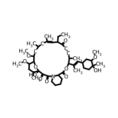 CCC1/C=C(\C)CC(C)CC(OC)C2OC(O)(C(=O)C(=O)N3CCCCC3C(=O)OC(C(C)=CC3CCC(C)(O)C(OC)C3)C(C)CCC1=O)C(C)CC2OC